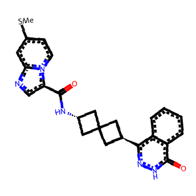 CSc1ccn2c(C(=O)N[C@H]3CC4(C3)C[C@H](c3n[nH]c(=O)c5ccccc53)C4)cnc2c1